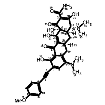 COc1ccc(C#Cc2cc(N(C)C)c3c(c2O)C(=O)C2=C(O)[C@@]4(O)C(=O)C(C(N)=O)=C(O)[C@H](N(C)C)[C@H]4C[C@H]2C3)cc1